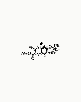 CCCc1cc(CC(C(=O)OC)C(CC)NC(C)=O)cc(CCC)c1O[Si](C)(C)C(C)(C)C